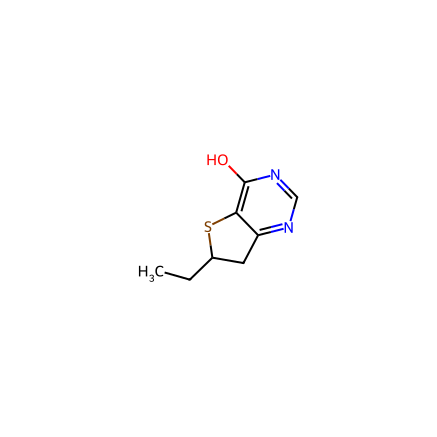 CCC1Cc2ncnc(O)c2S1